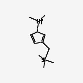 [CH3][Hf]([CH3])[CH]1C=CC(C[Si](C)(C)C)=C1